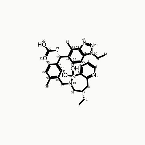 CC[C@H]1Cc2ncccc2S(O)(O)N(Cc2cc([C@H](CC(=O)O)c3ccc4c(nnn4CC)c3C)ccc2C)C1